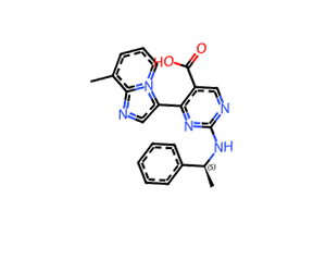 Cc1cccn2c(-c3nc(N[C@@H](C)c4ccccc4)ncc3C(=O)O)cnc12